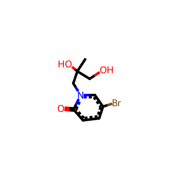 CC(O)(CO)Cn1cc(Br)ccc1=O